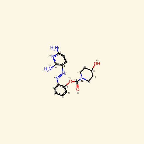 Nc1ccc(/N=N/c2ccccc2OC(=O)N2CCC(O)CC2)c(N)n1